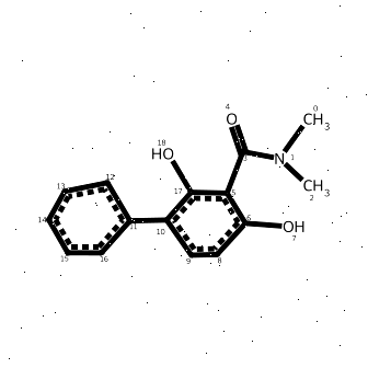 CN(C)C(=O)c1c(O)ccc(-c2ccccc2)c1O